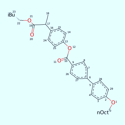 CCCCCCCCOc1ccc(-c2ccc(C(=O)Oc3ccc(C(C)C(=O)OC[C@@H](C)CC)cc3)cc2)cc1